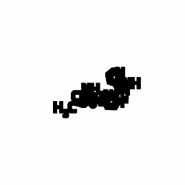 CC(C)CC1(CN)CN(c2ccc(F)c(-c3n[nH]c4ncccc34)n2)C1